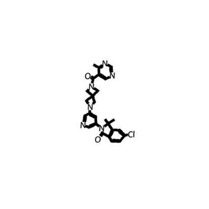 Cc1ncncc1C(=O)N1CC2(C1)CN(c1cncc(N3C(=O)c4ccc(Cl)cc4C3(C)C)c1)C2